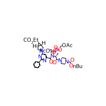 CCCCOC(=O)N1CCN(C(=O)[C@H](CP(=O)(OCOC(C)=O)OCOC(C)=O)NC(=O)c2cc(N3C[C@@H]4[C@H](C3)[C@H]4C(=O)OCC)nc(-c3ccccc3)n2)CC1